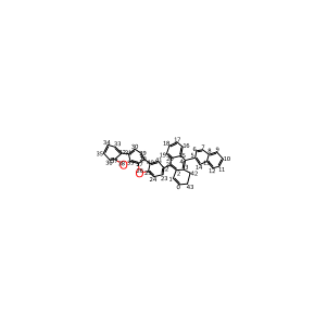 C1=Cc2c(c(-c3ccc4ccccc4c3)c3ccccc3c2-c2ccc3oc4c(ccc5c6ccccc6oc54)c3c2)CC1